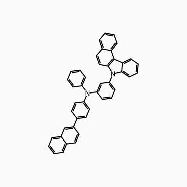 c1ccc(N(c2ccc(-c3ccc4ccccc4c3)cc2)c2cccc(-n3c4ccccc4c4c5ccccc5ccc43)c2)cc1